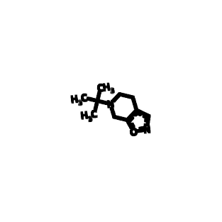 CC(C)(C)N1CCc2cnoc2C1